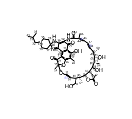 CC(=O)O[C@@H]1[C@H](C)[C@@H](CO)/C=C/O[C@@]2(C)Oc3c(C)c(O)c4c(c3C2=O)C2=NC3(CCN(CC(C)C)CC3)NC2=C(NC(=O)/C(C)=C\C=C\[C@H](C)[C@H](O)[C@@H](C)C(O)[C@H]1C)C4=O